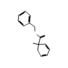 [CH2]C1(C(=O)OCc2ccccc2)C=CC=CC1